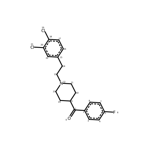 O=C(c1ccc(F)cc1)C1CCN(C[CH]c2ccc(Cl)c(Cl)c2)CC1